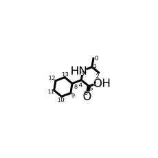 CC(C)NC(C(=O)O)C1CCCCC1